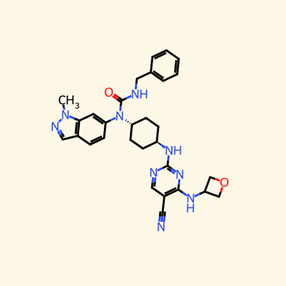 Cn1ncc2ccc(N(C(=O)NCc3ccccc3)[C@H]3CC[C@H](Nc4ncc(C#N)c(NC5COC5)n4)CC3)cc21